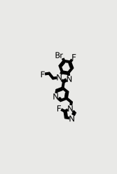 FCCn1c(-c2cncc(Cn3cncc3F)c2)nc2cc(F)c(Br)cc21